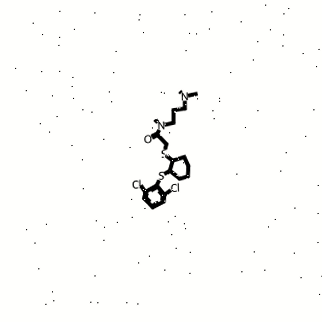 CN(C)CCCN(C)C(=O)CSC1CCCCC1Sc1c(Cl)cccc1Cl